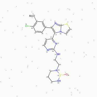 COc1cc(-c2nc3sccn3c2-c2ccnc(NCCN3CCCN[S+]3[O-])n2)ccc1Cl